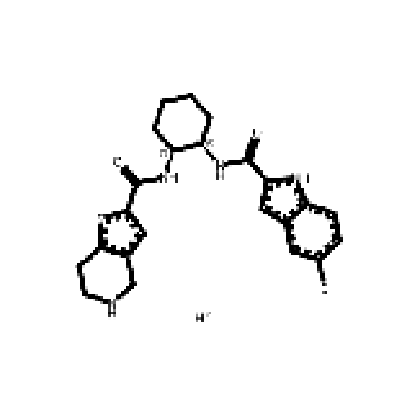 Cl.O=C(N[C@@H]1CCCC[C@@H]1NC(=O)c1cc2c(s1)CCNC2)c1cc2cc(Cl)ccc2[nH]1